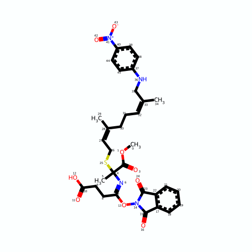 COC(=O)C(C)(N=C(CCC(=O)O)ON1C(=O)c2ccccc2C1=O)SCC=C(C)CCC=C(C)CNc1ccc([N+](=O)[O-])cc1